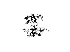 CC(C)c1cnc(N2CC[C@H]2C(=O)O)c2cnc(Cl)cc12.COC(=O)[C@@H]1CCN1c1ncc(C(C)C)c2cc(Cl)ncc12